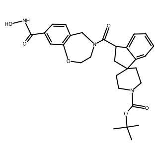 CC(C)(C)OC(=O)N1CCC2(CC1)CC(C(=O)N1CCOc3cc(C(=O)NO)ccc3C1)c1ccccc12